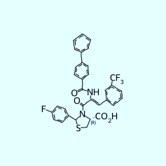 O=C(NC(=Cc1cccc(C(F)(F)F)c1)C(=O)N1C(c2ccc(F)cc2)SC[C@H]1C(=O)O)c1ccc(-c2ccccc2)cc1